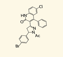 CC(=O)N1N=C(c2c(-c3ccccc3)c3cc(Cl)ccc3[nH]c2=O)CC1c1ccc(Br)cc1